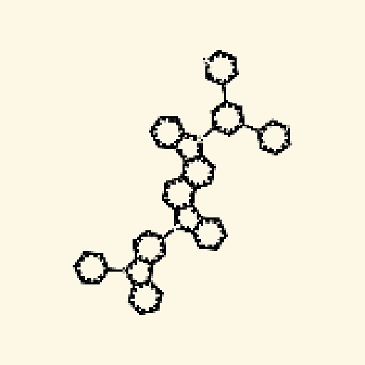 c1ccc(-n2c3ccccc3c3cc(-n4c5ccccc5c5c6ccc7c(c6ccc54)c4ccccc4n7-c4cc(-c5cccnc5)cc(-c5cccnc5)c4)ccc32)cc1